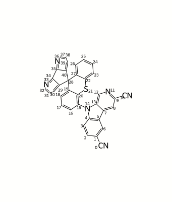 N#Cc1ccc2c(c1)c1cc(C#N)ncc1n2-c1cccc2c1Sc1ccccc1C21c2cccnc2-c2ncccc21